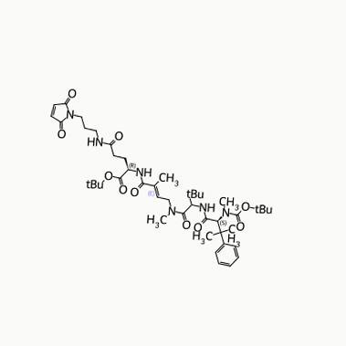 C/C(=C\CN(C)C(=O)C(NC(=O)[C@@H](N(C)C(=O)OC(C)(C)C)C(C)(C)c1ccccc1)C(C)(C)C)C(=O)N[C@H](CCC(=O)NCCCN1C(=O)C=CC1=O)C(=O)OC(C)(C)C